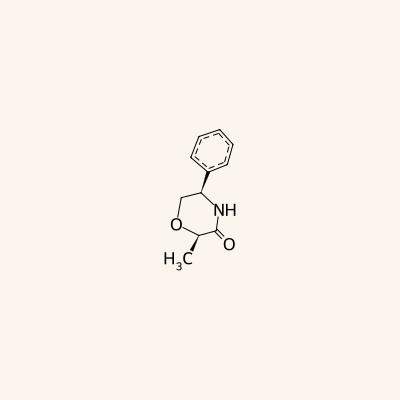 C[C@H]1OC[C@@H](c2ccccc2)NC1=O